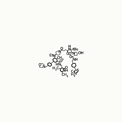 CCN(c1cc(-c2ccc(CN3CCOCC3)cc2)cc(C(=O)NCc2c(C)cc(C)[nH]c2=O)c1C)C1CCN(C(=O)CCC(=O)N[C@H](C(=O)N2C[C@H](O)C[C@@H]2C(=O)NCc2ccc(-c3scnc3C)cc2)C(C)(C)C)CC1